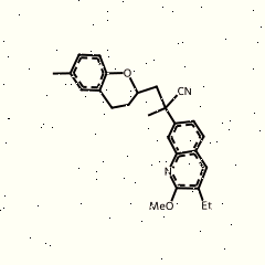 CCc1cc2ccc(C(C)(C#N)CC3CCc4cc(C)ccc4O3)cc2nc1OC